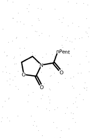 CCCCCC(=O)N1CCOC1=O